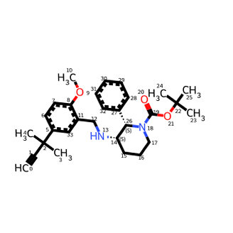 C#CC(C)(C)c1ccc(OC)c(CN[C@H]2CCCN(C(=O)OC(C)(C)C)[C@H]2c2ccccc2)c1